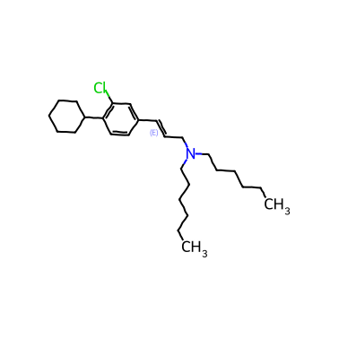 CCCCCCN(C/C=C/c1ccc(C2CCCCC2)c(Cl)c1)CCCCCC